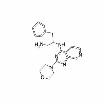 NCC(Cc1ccccc1)Nc1nc(N2CCOCC2)nc2cnccc12